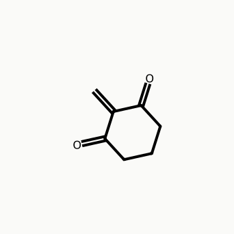 C=C1C(=O)CCCC1=O